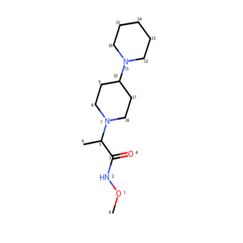 CONC(=O)C(C)N1CCC(N2CCCCC2)CC1